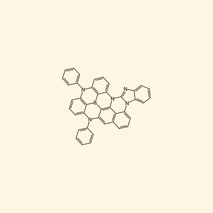 c1ccc(N2c3cccc4c3B3c5c2cccc5-n2c5c3c(cc3cccc(c35)n3c5ccccc5nc23)N4c2ccccc2)cc1